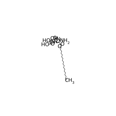 CCCCCCCCCCCCCCCCCCCOC(=O)c1cn([C@@H]2O[C@H](CO)[C@@H](O)[C@@H]2O)c(=O)nc1N